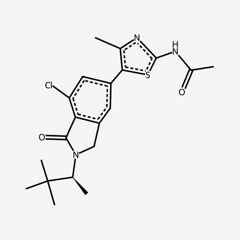 CC(=O)Nc1nc(C)c(-c2cc(Cl)c3c(c2)CN([C@@H](C)C(C)(C)C)C3=O)s1